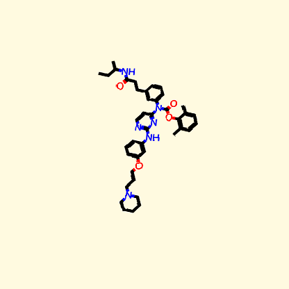 CCC(C)NC(=O)CCc1cccc(N(C(=O)Oc2c(C)cccc2C)c2ccnc(Nc3cccc(OCCCN4CCCCC4)c3)n2)c1